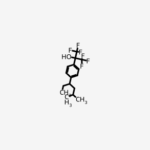 CCC(CC(C)C)c1ccc(C(O)(C(F)(F)F)C(F)(F)F)cc1